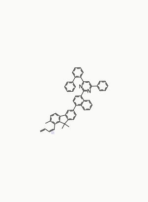 C=C/C=C\c1c(C)ccc2c1C(C)(C)c1ccc(-c3ccc(-c4nc(-c5ccccc5)cc(-c5ccccc5-c5ccccc5)n4)c4ccccc34)cc1-2